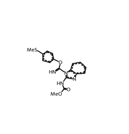 COC(=O)Nc1nc2ccccc2n1C(=N)Oc1ccc(SC)cc1